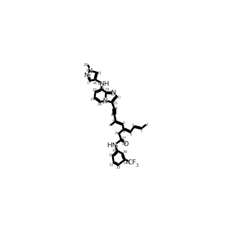 C/C=C/C=C(\C=C(/C)C#Cc1cnc2c(Nc3cnn(C)c3)cccn12)CC(=O)Nc1cccc(C(F)(F)F)c1